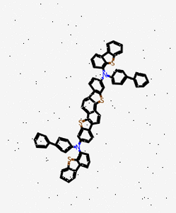 c1ccc(-c2ccc(N(c3ccc4c(c3)sc3c4ccc4c3ccc3c5ccc(N(c6ccc(-c7ccccc7)cc6)c6cccc7c6sc6ccccc67)cc5sc34)c3cccc4c3sc3ccccc34)cc2)cc1